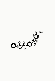 CC(=O)Nc1ccc(NS(=O)(=O)c2ccc(NC(=O)N3CCN(c4ccccc4)C3=O)cc2)cn1